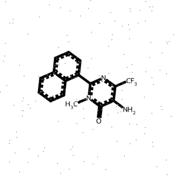 Cn1c(-c2cccc3ccccc23)nc(C(F)(F)F)c(N)c1=O